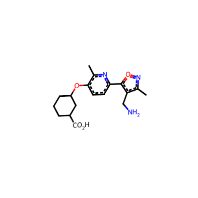 Cc1nc(-c2onc(C)c2CN)ccc1OC1CCCC(C(=O)O)C1